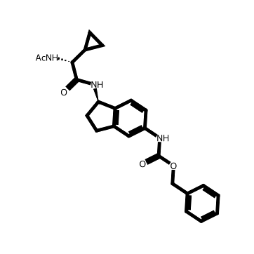 CC(=O)N[C@@H](C(=O)N[C@@H]1CCc2cc(NC(=O)OCc3ccccc3)ccc21)C1CC1